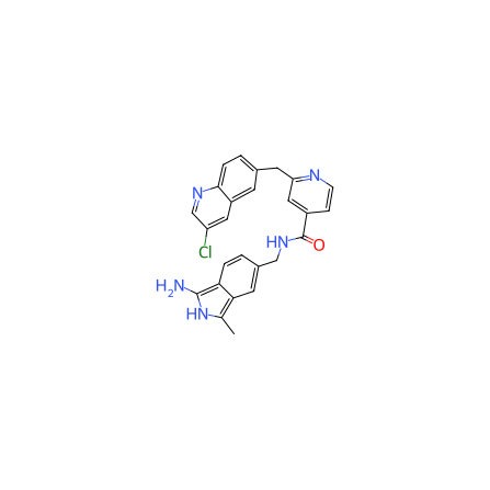 Cc1[nH]c(N)c2ccc(CNC(=O)c3ccnc(Cc4ccc5ncc(Cl)cc5c4)c3)cc12